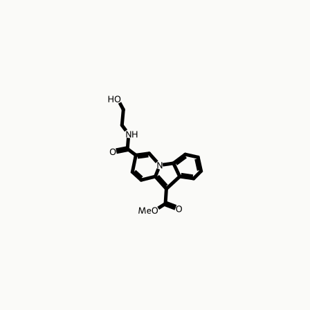 COC(=O)c1c2ccccc2n2cc(C(=O)NCCO)ccc12